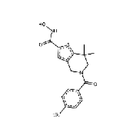 CC(C)(C)c1ccc(C(=O)N2Cc3cc(C(=O)NO)sc3C(C)(C)C2)cc1